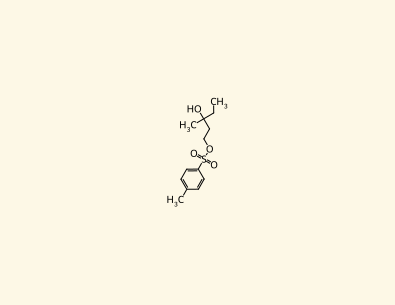 CCC(C)(O)CCOS(=O)(=O)c1ccc(C)cc1